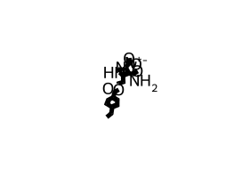 CCc1ccc(C(=O)OCCc2[nH]nc([N+](=O)[O-])c2C(N)=O)cc1